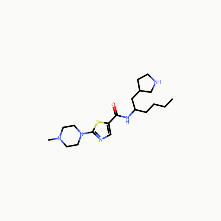 CCCCC(CC1CCNC1)NC(=O)c1cnc(N2CCN(C)CC2)s1